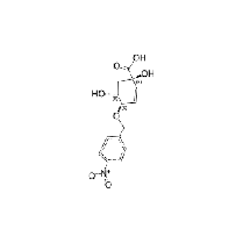 O=C(O)[C@]1(O)C=C[C@@H](OCc2ccc([N+](=O)[O-])cc2)[C@H](O)C1